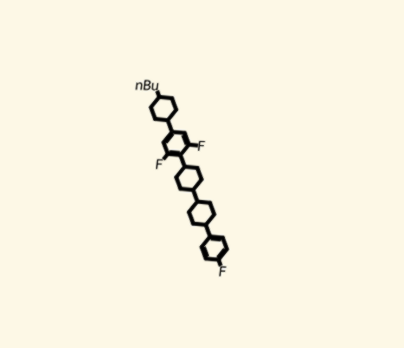 CCCCC1CCC(c2cc(F)c(C3CCC(C4CCC(c5ccc(F)cc5)CC4)CC3)c(F)c2)CC1